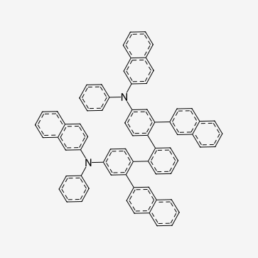 c1ccc(N(c2ccc(-c3ccccc3-c3ccc(N(c4ccccc4)c4ccc5ccccc5c4)cc3-c3ccc4ccccc4c3)c(-c3ccc4ccccc4c3)c2)c2ccc3ccccc3c2)cc1